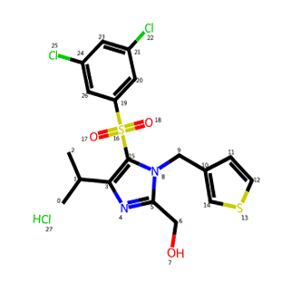 CC(C)c1nc(CO)n(Cc2ccsc2)c1S(=O)(=O)c1cc(Cl)cc(Cl)c1.Cl